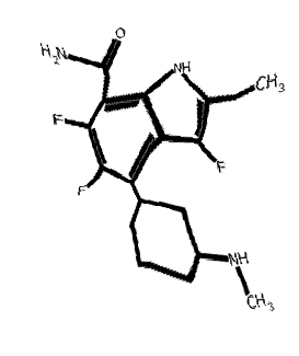 CNC1CCCC(c2c(F)c(F)c(C(N)=O)c3[nH]c(C)c(F)c23)C1